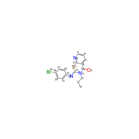 CCCn1c(=O)c2cccnc2s/c1=N\c1ccc(Br)cc1